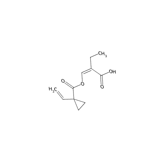 C=CC1(C(=O)OC=C(CC)C(=O)O)CC1